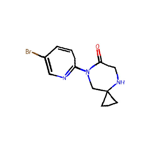 O=C1CNC2(CC2)CN1c1ccc(Br)cn1